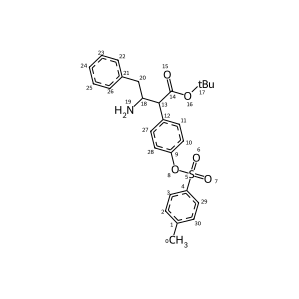 Cc1ccc(S(=O)(=O)Oc2ccc(C(C(=O)OC(C)(C)C)C(N)Cc3ccccc3)cc2)cc1